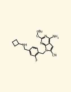 CCCCOc1nc(N)c2cc(C#N)n(Cc3ccc(CNC4CCC4)cc3F)c2n1